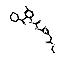 CCOC(=O)Cc1csc(NC(=O)Nc2ccc(C)cc2C(=O)C2CCCCC2)n1